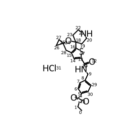 CCS(=O)(=O)c1ccc(CNC(=O)c2cc3c(s2)C2(CCNCC2)OC2(CC2)C3)cc1.Cl